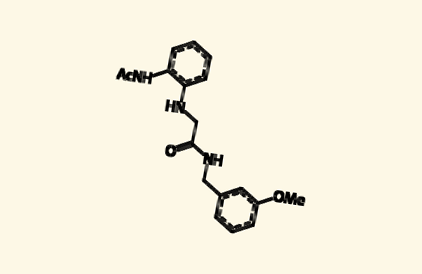 COc1cccc(CNC(=O)CNc2ccccc2NC(C)=O)c1